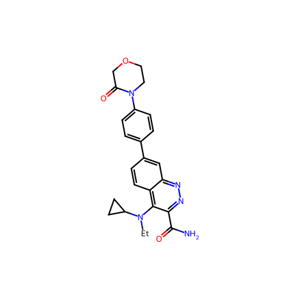 CCN(c1c(C(N)=O)nnc2cc(-c3ccc(N4CCOCC4=O)cc3)ccc12)C1CC1